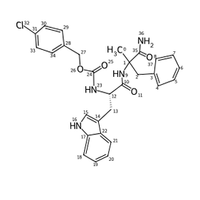 CC(Cc1ccccc1)(NC(=O)[C@H](Cc1c[nH]c2ccccc12)NC(=O)OCc1ccc(Cl)cc1)C(N)=O